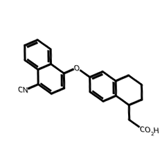 [C-]#[N+]c1ccc(Oc2ccc3c(c2)CCCC3CC(=O)O)c2ccccc12